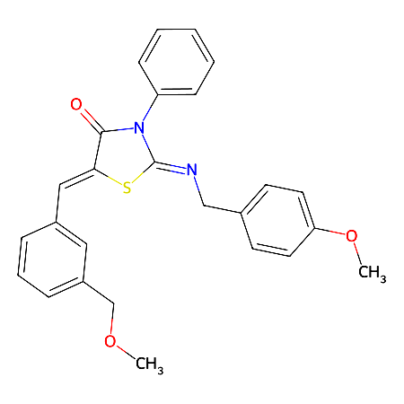 COCc1cccc(/C=C2\S/C(=N\Cc3ccc(OC)cc3)N(c3ccccc3)C2=O)c1